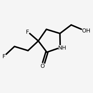 O=C1NC(CO)CC1(F)CCF